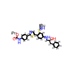 CC(C)OC(=O)Nc1ccc(-c2ncc(-c3ccc(NCC(O)Cc4ccccc4)cc3SNC(C)(C)C)s2)cc1